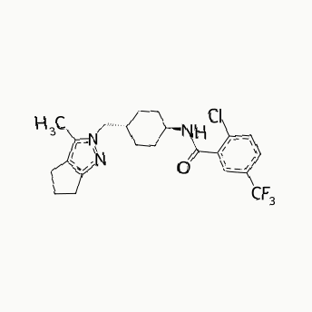 Cc1c2c(nn1C[C@H]1CC[C@H](NC(=O)c3cc(C(F)(F)F)ccc3Cl)CC1)CCC2